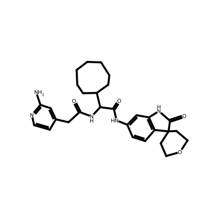 Nc1cc(CC(=O)NC(C(=O)Nc2ccc3c(c2)NC(=O)C32CCOCC2)C2CCCCCCC2)ccn1